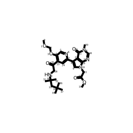 COCOc1cnc(-c2cn(CC(=O)OC)c3ncn(C)c(=O)c23)cc1C(=O)CNC(C)(C)CC(C)(C)C